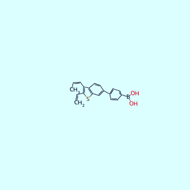 C=Cc1sc2cc(-c3ccc(B(O)O)cc3)ccc2c1/C=C\C